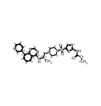 COC(=O)Nc1ncc(S(=O)(=O)N2CCN(C[C@H](C)Nc3ncnc4c(-c5cccnc5)cccc34)CC2)s1